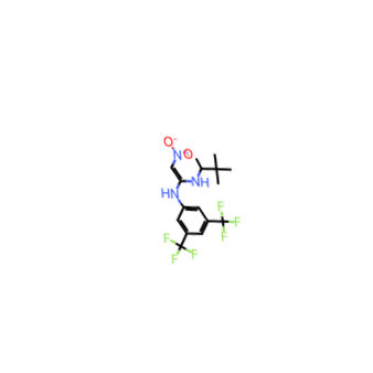 CC(N/C(=C\[N+](=O)[O-])Nc1cc(C(F)(F)F)cc(C(F)(F)F)c1)C(C)(C)C